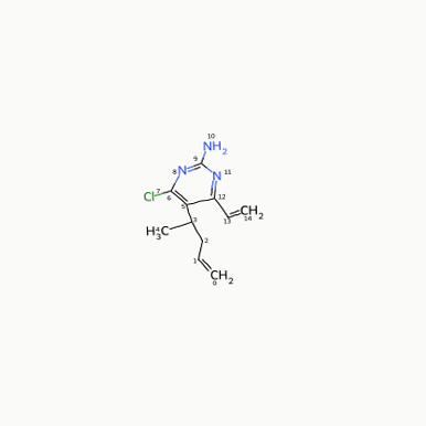 C=CCC(C)c1c(Cl)nc(N)nc1C=C